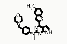 Cc1ccc2sc(-c3nc(Nc4ccc(CN5CCOCC5)cc4)nc4[nH]ccc34)cc2c1